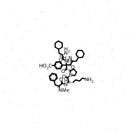 CN[C@@H](Cc1ccccc1)C(=O)N[C@@H](CCCCN)C(=O)N1CCC[C@H]1C(=O)C(NC(=O)[C@@H](N)CC1CCCCC1)(C(=O)[C@H](N)CC1CCCCC1)c1ccc(C(=O)O)cc1